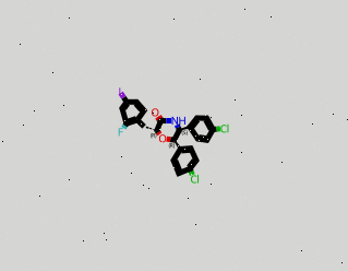 O=C1N[C@@H](c2ccc(Cl)cc2)[C@@H](c2ccc(Cl)cc2)O[C@@H]1Cc1ccc(I)cc1F